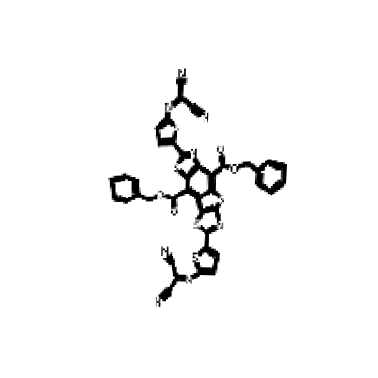 N#CC(C#N)=Nc1ccc(-c2nc3c(C(=O)OCc4ccccc4)c4sc5nc(-c6ccc(N=C(C#N)C#N)s6)sc5c4c(C(=O)OCc4ccccc4)c3s2)s1